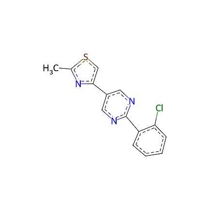 Cc1nc(-c2cnc(-c3ccccc3Cl)nc2)cs1